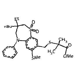 CCCCC1(CC)CN(c2ccccc2)c2cc(SC)c(CSC(C)(C)C(=O)OC)cc2S(=O)(=O)C1